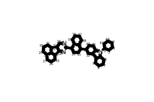 c1ccc(-n2c3ccccc3c3cc(-c4ccc(-c5ncc6c(n5)-c5cccc7cccc-6c57)c5ccccc45)ccc32)cc1